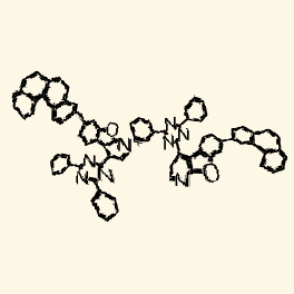 c1ccc(-c2nc(-c3cccc(-[n+]4ccc(-c5nc(-c6ccccc6)nc(-c6ccccc6)n5)c5c6ccc(-c7ccc8c(ccc9ccc%10ccccc%10c98)c7)cc6oc54)c3)nc(-c3ccnc4oc5cc(-c6ccc7ccc8ccccc8c7c6)ccc5c34)n2)cc1